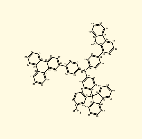 Cc1cccc(C2(c3ccc(N(c4ccc(-c5ccc6c7ccccc7c7ccccc7c6c5)cc4)c4ccc(-c5cccc6c5oc5ccccc56)cc4)cc3)c3ccccc3-c3ccccc32)c1